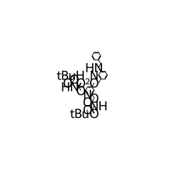 CC(C)(C)OC(=O)NC(=O)Oc1cc(OCc2cccc(NCc3ccccc3)c2N)cc(OC(=O)NC(=O)OC(C)(C)C)n1